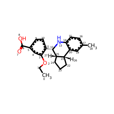 CCOc1cc(C(=O)O)ccc1[C@@H]1Nc2ccc(C)cc2[C@@H]2CCC[C@@H]21